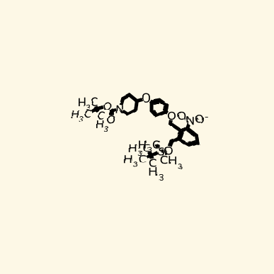 CC(C)(C)OC(=O)N1CCC(Oc2ccc(OCc3c(CO[Si](C)(C)C(C)(C)C)cccc3[N+](=O)[O-])cc2)CC1